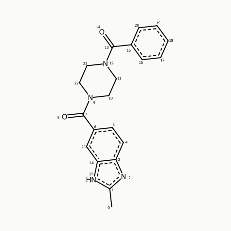 Cc1nc2ccc(C(=O)N3CCN(C(=O)c4ccccc4)CC3)cc2[nH]1